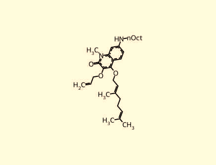 C=CCOc1c(OC/C=C(\C)CCC=C(C)C)c2ccc(NCCCCCCCC)cc2n(C)c1=O